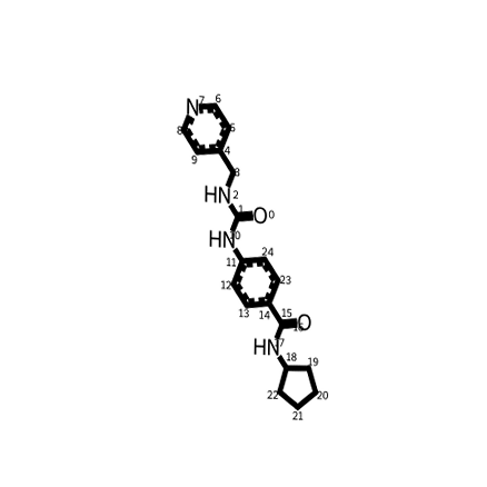 O=C(NCc1ccncc1)Nc1ccc(C(=O)NC2CCCC2)cc1